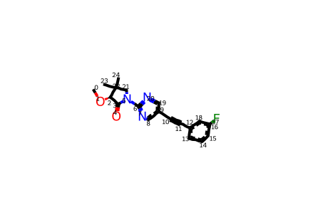 CO[C@@H]1C(=O)N(c2ncc(C#Cc3cccc(F)c3)cn2)CC1(C)C